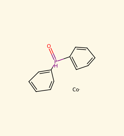 O=[PH](c1ccccc1)c1ccccc1.[Co]